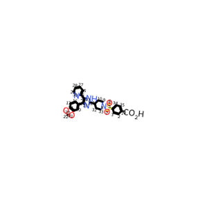 O=C(O)c1ccc(S(=O)(=O)N2CCC(c3nc(-c4ccc5c(c4)OCO5)c(-c4ccccn4)[nH]3)CC2)cc1